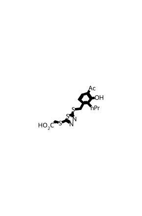 CCCc1c(CSc2nnc(SCC(=O)O)s2)ccc(C(C)=O)c1O